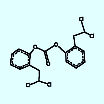 O=C(Oc1ccccc1CC(Cl)Cl)Oc1ccccc1CC(Cl)Cl